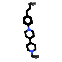 O=C(O)CCc1ccc(N2CCC(C3CCN(C(=O)O)CC3)CC2)cc1